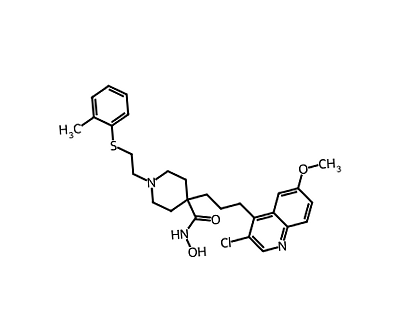 COc1ccc2ncc(Cl)c(CCCC3(C(=O)NO)CCN(CCSc4ccccc4C)CC3)c2c1